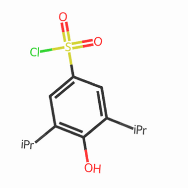 CC(C)c1cc(S(=O)(=O)Cl)cc(C(C)C)c1O